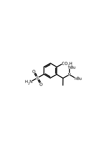 CCCCN(CCCC)C(C)c1cc(S(N)(=O)=O)ccc1C(=O)O